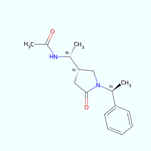 CC(=O)N[C@H](C)[C@H]1CC(=O)N([C@@H](C)c2ccccc2)C1